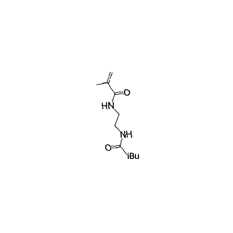 C=C(C)C(=O)NCCNC(=O)C(C)CC